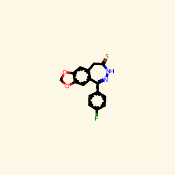 Fc1ccc(C2=NNC(=S)Cc3cc4c(cc32)OCO4)cc1